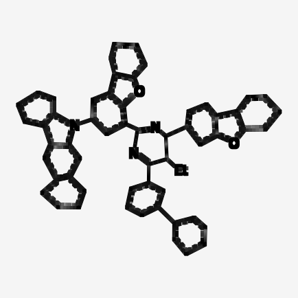 CCC1C(c2cccc(-c3ccccc3)c2)=NC(c2cc(-n3c4ccccc4c4cc5ccccc5cc43)cc3c2oc2ccccc23)=NC1c1ccc2c(c1)oc1ccccc12